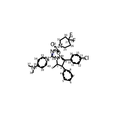 CC1C(c2ccccc2)C(c2ccc(Cl)cc2)=NN1/C(=N\S(=O)(=O)N1CCC(F)(F)CC1)[n+]1ccc(N(C)C)cc1